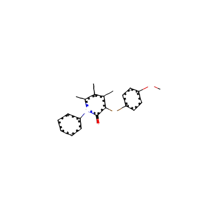 COc1ccc(Sc2c(C)c(C)c(C)n(-c3ccccc3)c2=O)cc1